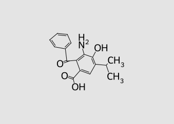 CC(C)c1cc(C(=O)O)c(C(=O)c2ccccc2)c(N)c1O